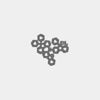 CC1(c2ccccc2)c2ccccc2-c2ccc(N(c3cccc4c3-c3ccccc3C4(c3ccccc3)c3ccccc3)c3cccc4c3oc3ccccc34)cc21